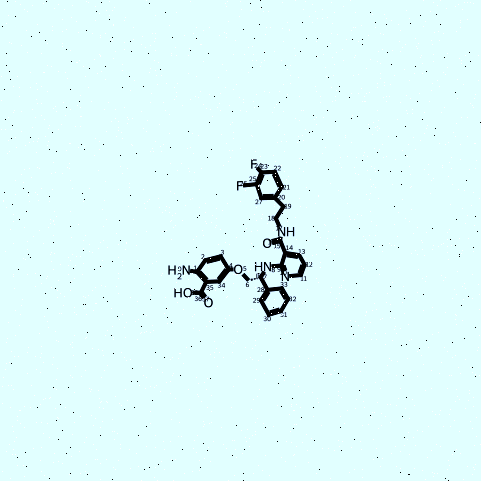 Nc1ccc(OC[C@H](Nc2ncccc2C(=O)NCCc2ccc(F)c(F)c2)c2ccccc2)cc1C(=O)O